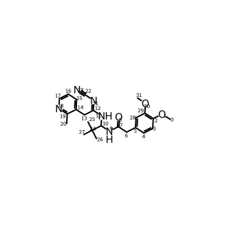 COc1ccc(CC(=O)NC(N/C(Cc2cccnc2C)=N/C#N)C(C)(C)C)cc1OC